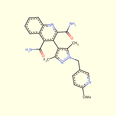 COc1ccc(Cn2nc(C(F)(F)F)c(-c3c(C(N)=O)nc4ccccc4c3C(N)=O)c2C)cn1